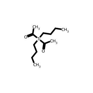 CCC[CH2][Ti]([CH2]CCC)([C](C)=O)[C](C)=O